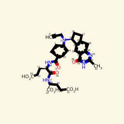 C#CCN(c1ccc(C(=O)N[C@H](CCC(=O)O)C(=O)N[C@H](CCC(=O)O)C(=O)O)cc1)[C@H]1CCc2cc3nc(C)[nH]c(=O)c3cc21